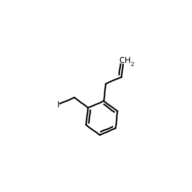 C=CCc1ccccc1CI